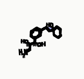 NC[C@@H](O)[C@H](O)c1cccc(/C=C/C2(O)CCCCC2)c1